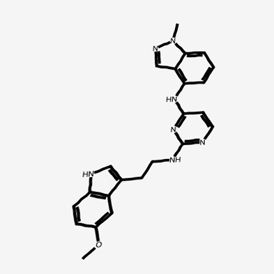 COc1ccc2[nH]cc(CCNc3nccc(Nc4cccc5c4cnn5C)n3)c2c1